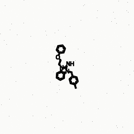 Cc1ccc(Cn2c(=N)n(CCOc3ccccc3)c3ccccc32)cc1